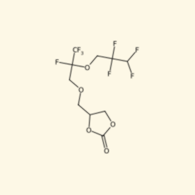 O=C1OCC(COCC(F)(OCC(F)(F)C(F)F)C(F)(F)F)O1